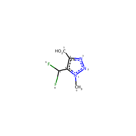 Cn1nnc(C(=O)O)c1C(F)F